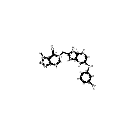 Cn1nnc2ncn(Cc3nc4nc(Oc5cccc(Br)c5)cnc4[nH]3)c(=O)c21